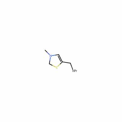 CCCCC1=CN(C)CS1